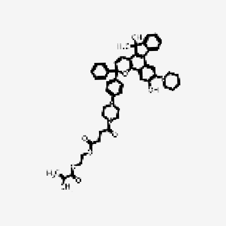 C=C(C)C(=O)OCCOC(=O)CCC(=O)N1CCN(c2ccc(C3(c4ccccc4)C=Cc4c5c(c6cc(N7CCCCC7)c(O)cc6c4O3)-c3ccccc3C5(C)C)cc2)CC1